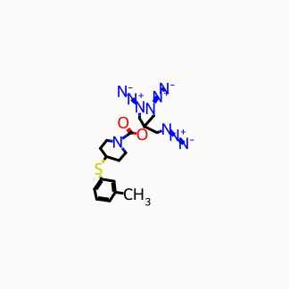 Cc1cccc(SC2CCN(C(=O)OC(CN=[N+]=[N-])(CN=[N+]=[N-])CN=[N+]=[N-])CC2)c1